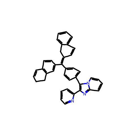 C1=Cc2ccc(/C(=C3/C=Cc4ccccc4C3)c3ccc(-c4c(-c5ccccn5)nc5ccccn45)cc3)cc2CC1